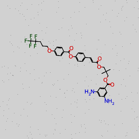 CC(C)(COC(=O)C=Cc1ccc(OC(=O)c2ccc(OCCCC(F)(F)C(F)(F)F)cc2)cc1)COC(=O)c1cc(N)cc(N)c1